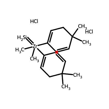 CC1(C)C=C[C]([Zr]([CH3])([CH3])(=[SiH2])[C]2=CCC(C)(C)C=C2)=CC1.Cl.Cl